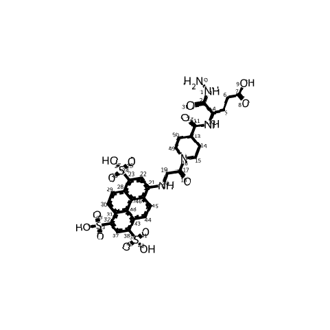 NNC(=O)C(CCC(=O)O)NC(=O)C1CCN(C(=O)CNc2cc(S(=O)(=O)O)c3ccc4c(S(=O)(=O)O)cc(S(=O)(=O)O)c5ccc2c3c54)CC1